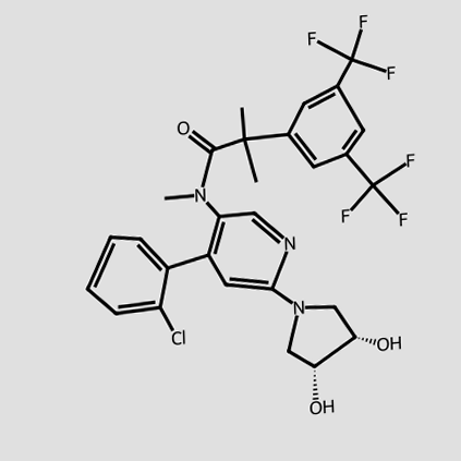 CN(C(=O)C(C)(C)c1cc(C(F)(F)F)cc(C(F)(F)F)c1)c1cnc(N2C[C@@H](O)[C@@H](O)C2)cc1-c1ccccc1Cl